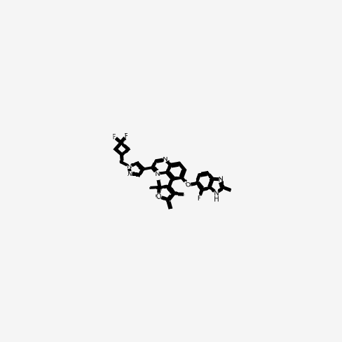 CC1=C(c2c(Oc3ccc4nc(C)[nH]c4c3F)ccc3ncc(-c4cnn(CC5CC(F)(F)C5)c4)nc23)C(C)(C)OC1C